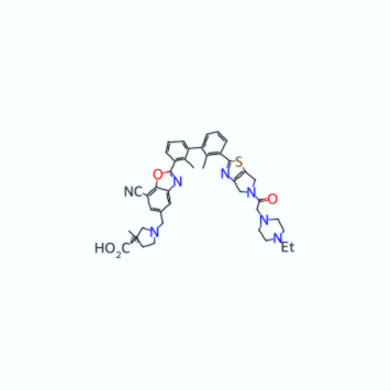 CCN1CCN(CC(=O)N2Cc3nc(-c4cccc(-c5cccc(-c6nc7cc(CN8CC[C@@](C)(C(=O)O)C8)cc(C#N)c7o6)c5C)c4C)sc3C2)CC1